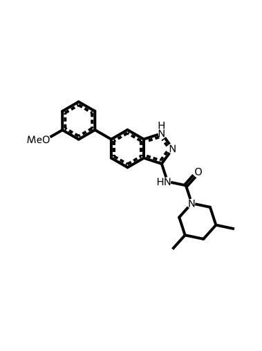 COc1cccc(-c2ccc3c(NC(=O)N4CC(C)CC(C)C4)n[nH]c3c2)c1